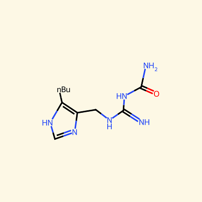 CCCCc1[nH]cnc1CNC(=N)NC(N)=O